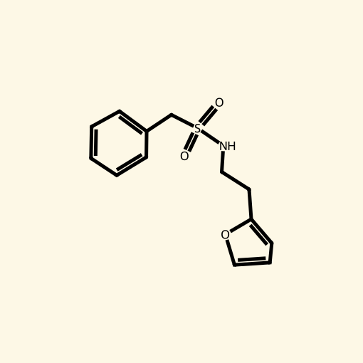 O=S(=O)(Cc1ccccc1)NCCc1ccco1